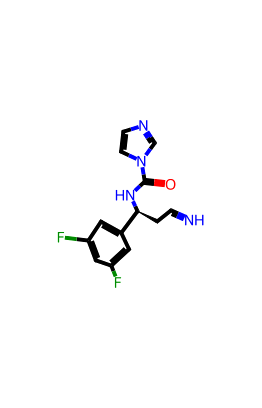 N=CC[C@H](NC(=O)n1ccnc1)c1cc(F)cc(F)c1